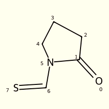 O=C1CCCN1C=S